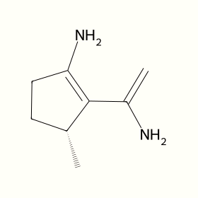 C=C(N)C1=C(N)CC[C@H]1C